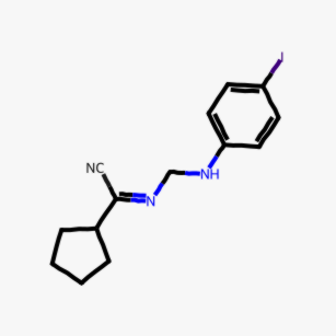 N#C/C(=N\CNc1ccc(I)cc1)C1CCCC1